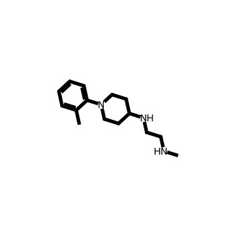 CNCCNC1CCN(c2ccccc2C)CC1